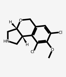 COc1c(Cl)cc2c(c1Cl)[C@@H]1CNC[C@@H]1OC2